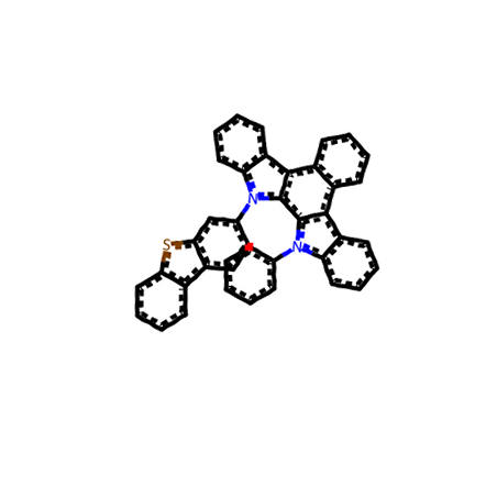 c1ccc(-n2c3ccccc3c3c4ccccc4c4c5ccccc5n(-c5ccc6c(c5)sc5ccccc56)c4c32)cc1